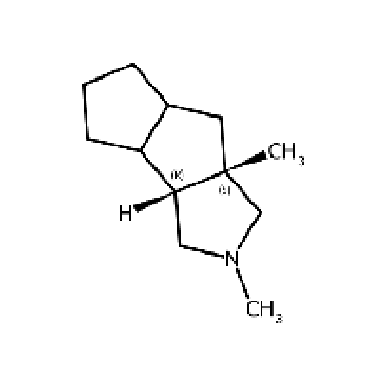 CN1C[C@@H]2C3CCCC3C[C@]2(C)C1